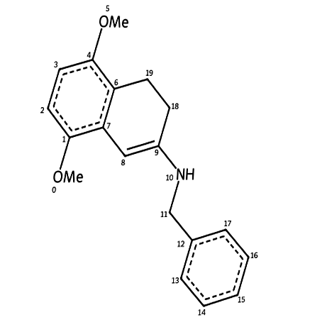 COc1ccc(OC)c2c1C=C(NCc1ccccc1)CC2